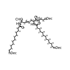 CCCCCCCCCCCCCCCCCCCCCC(=O)NC(C=O)CSSCC(NC(=O)CCCCCCCCCCCCCCCCCCCCC)C(=O)NCCCCCCCCCCCC